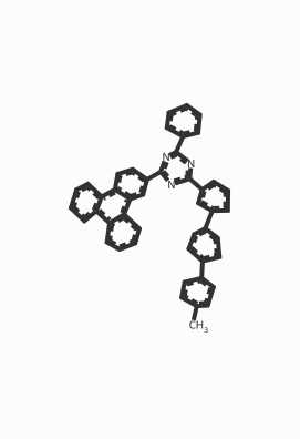 Cc1ccc(-c2ccc(-c3cccc(-c4nc(-c5ccccc5)nc(-c5ccc6c7ccccc7c7ccccc7c6c5)n4)c3)cc2)cc1